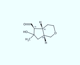 CC1(O)C[C@H]2COCC[C@H]2[C@@H]1C=O